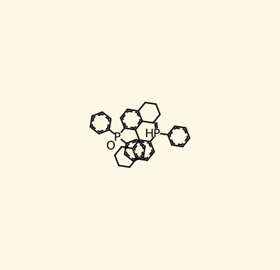 C=[PH](c1ccccc1)c1ccc2c(c1-c1c(P(=O)(c3ccccc3)c3ccccc3)ccc3c1CCCC3)CCCC2